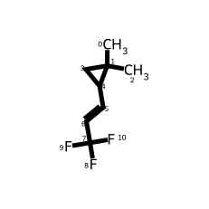 CC1(C)CC1C=CC(F)(F)F